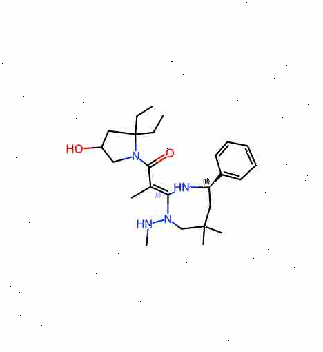 CCC1(CC)CC(O)CN1C(=O)/C(C)=C1\N[C@@H](c2ccccc2)CC(C)(C)CN1NC